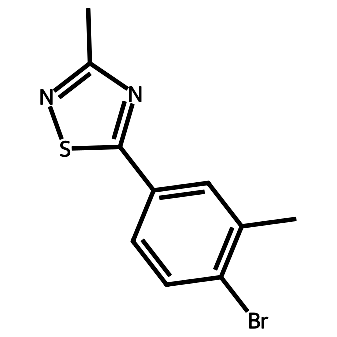 Cc1nsc(-c2ccc(Br)c(C)c2)n1